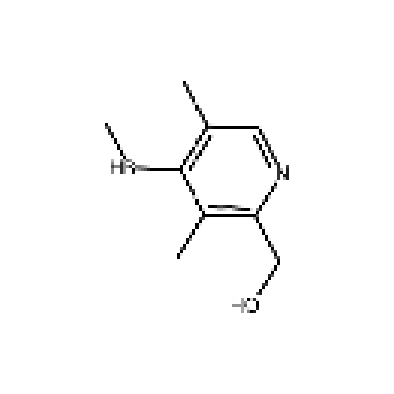 CBc1c(C)cnc(CO)c1C